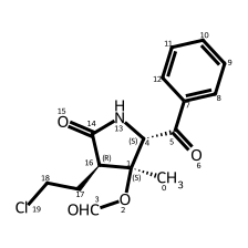 C[C@@]1(OC=O)[C@@H](C(=O)c2ccccc2)NC(=O)[C@@H]1CCCl